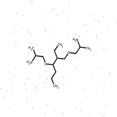 CCCC(OCC(C)N)C(CC)COCC(C)N